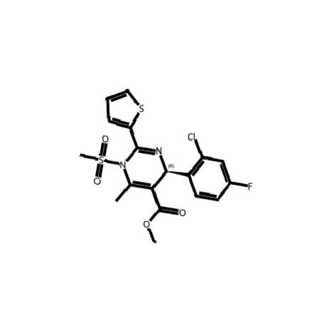 COC(=O)C1=C(C)N(S(C)(=O)=O)C(c2cccs2)=N[C@H]1c1ccc(F)cc1Cl